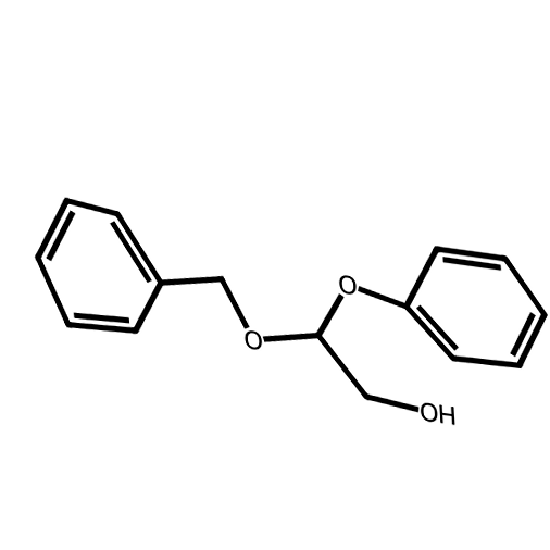 OCC(OCc1ccccc1)Oc1ccccc1